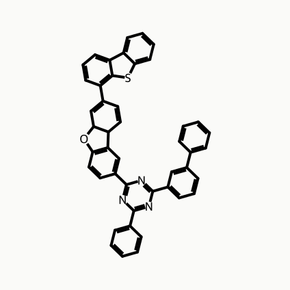 C1=CC2c3cc(-c4nc(-c5ccccc5)nc(-c5cccc(-c6ccccc6)c5)n4)ccc3OC2C=C1c1cccc2c1sc1ccccc12